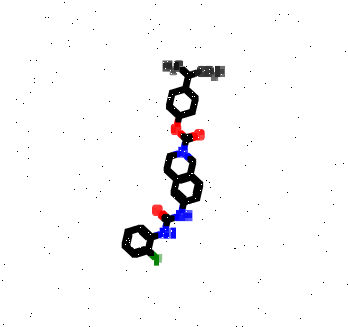 CC(C(=O)O)C1CCC(OC(=O)N2CCc3cc(NC(=O)Nc4ccccc4F)ccc3C2)CC1